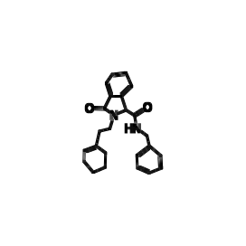 O=C(NCc1ccccc1)C1c2ccccc2C(=O)N1CCC1=CCCCC1